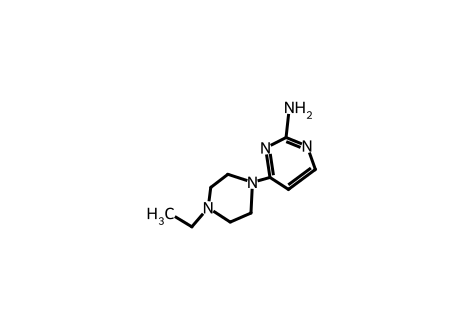 CCN1CCN(c2ccnc(N)n2)CC1